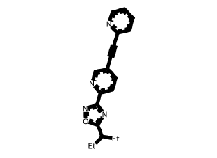 CCC(CC)c1nc(-c2ccc(C#Cc3ccccn3)cn2)no1